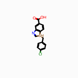 O=C(O)c1ccc2c(c1)N=C[SH]2Cc1ccc(Cl)cc1